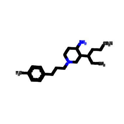 BCC(CCC(=O)O)C1CN(CCCc2ccc(C(F)(F)F)cc2)CCC1N